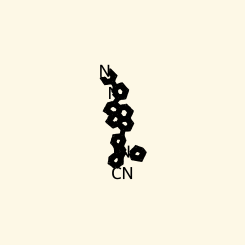 N#Cc1ccc2c3ccc(-c4ccc5ccc6c(-c7cccc(-c8ccncc8)n7)ccc7ccc4c5c76)cc3n(-c3ccccc3)c2c1